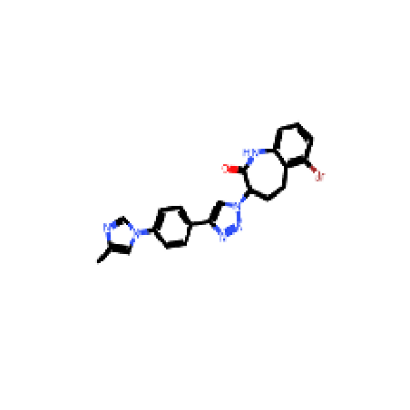 Cc1cn(-c2ccc(-c3cn(C4CCc5c(Br)cccc5NC4=O)nn3)cc2)cn1